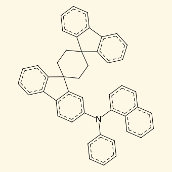 c1ccc(N(c2ccc3c(c2)C2(CCC4(CC2)c2ccccc2-c2ccccc24)c2ccccc2-3)c2cccc3ccccc23)cc1